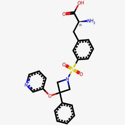 N[C@@H](Cc1cccc(S(=O)(=O)N2CC(Oc3cccnc3)(c3ccccc3)C2)c1)C(=O)O